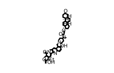 C=C1OCc2c(cc3n(c2=O)Cc2cc4c(CN5CCC(N(C)C(=O)CO[C@H]6CC[C@H]7[C@@H]8CC[C@H]9CC(=O)CC[C@]9(C)[C@H]8CC[C@]67C)CC5)c(O)ccc4nc2-3)[C@@]1(O)CC